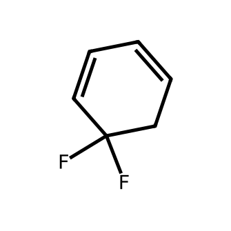 FC1(F)C=CC=CC1